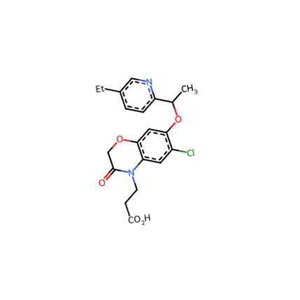 CCc1ccc(C(C)Oc2cc3c(cc2Cl)N(CCC(=O)O)C(=O)CO3)nc1